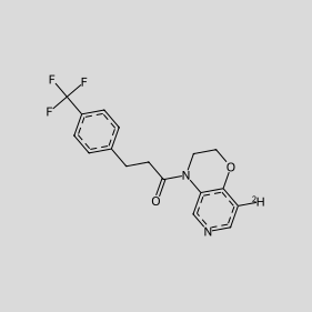 [2H]c1cncc2c1OCCN2C(=O)CCc1ccc(C(F)(F)F)cc1